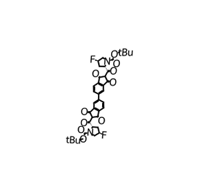 CC(C)(C)OC(=O)N1C[C@H](F)C[C@H]1C(=O)C1C(=O)c2ccc(-c3ccc4c(c3)C(=O)C(C(=O)[C@@H]3C[C@@H](F)CN3C(=O)OC(C)(C)C)C4=O)cc2C1=O